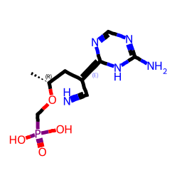 C[C@H](C/C(C=N)=C1\N=CN=C(N)N1)OCP(=O)(O)O